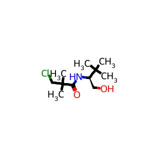 CC(C)(CCl)C(=O)N[C@H](CO)C(C)(C)C